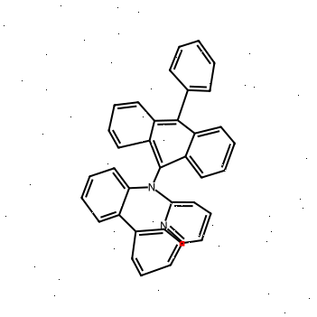 c1ccc(-c2ccccc2N(c2ccccn2)c2c3ccccc3c(-c3ccccc3)c3ccccc23)cc1